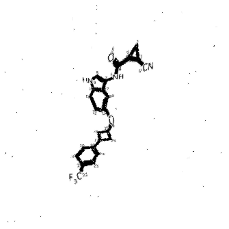 N#CC1CC1C(=O)Nc1c[nH]c2ccc(OC3CC(c4ccc(C(F)(F)F)cc4)C3)cc12